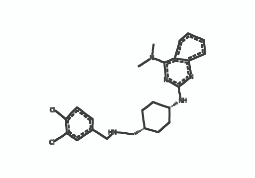 CN(C)c1nc(N[C@H]2CC[C@@H](CNCc3ccc(Cl)c(Cl)c3)CC2)nc2ccccc12